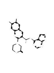 Cc1cc2cc([C@H](C)Nc3ncnc4sccc34)c(N3CCNC(=O)C3)nc2cc1F